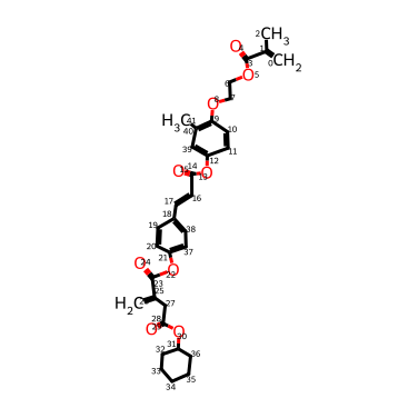 C=C(C)C(=O)OCCOc1ccc(OC(=O)/C=C/c2ccc(OC(=O)C(=C)CC(=O)OC3CCCCC3)cc2)cc1C